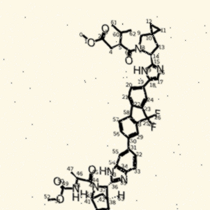 COC(=O)C[C@H](C(=O)N1CC2(CC2)C[C@H]1c1ncc(-c2ccc3c(c2)C(F)(F)c2cc(-c4ccc5nc([C@@H]6[C@H]7CC[C@H](C7)N6C(=O)[C@H](C)NC(=O)OC)[nH]c5c4)ccc2-3)[nH]1)C(C)C